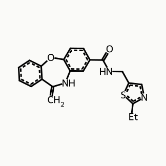 C=C1Nc2cc(C(=O)NCc3cnc(CC)s3)ccc2Oc2ccccc21